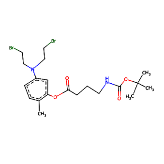 Cc1ccc(N(CCBr)CCBr)cc1OC(=O)CCCNC(=O)OC(C)(C)C